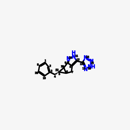 c1ccc(C[C@H]2C3Cc4c(n[nH]c4-c4nn[nH]n4)C32)cc1